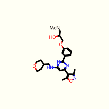 CNCC(O)COc1cccc(-c2nc(NCC3CCOCC3)cc(-c3c(C)noc3C)n2)c1